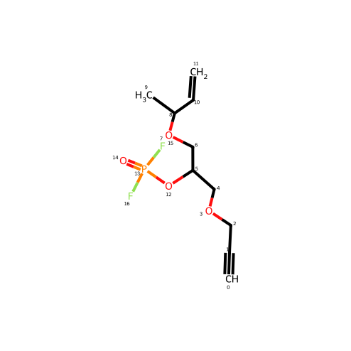 C#CCOCC(COC(C)C=C)OP(=O)(F)F